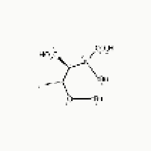 C[C@@H](OC(C)(C)C)[C@@H](C(=O)O)N(C(=O)O)C(C)(C)C